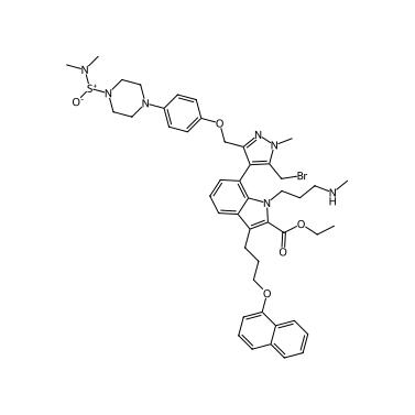 CCOC(=O)c1c(CCCOc2cccc3ccccc23)c2cccc(-c3c(COc4ccc(N5CCN([S+]([O-])N(C)C)CC5)cc4)nn(C)c3CBr)c2n1CCCNC